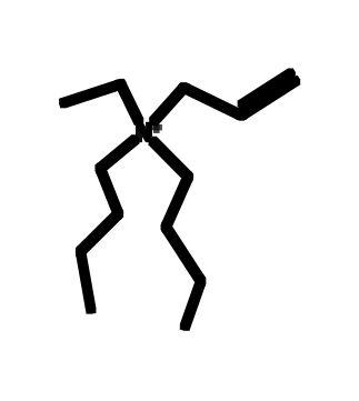 C=CC[N+](CC)(CCCC)CCCC